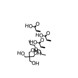 C=CC(=O)O.C=CC(=O)O.C=CC(=O)O.CCCOCCC.OCC(CO)(CO)CO